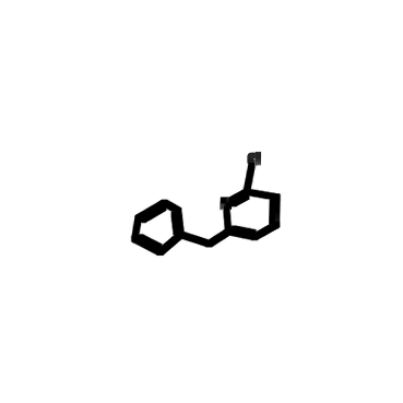 Clc1cccc(Cc2ccccc2)n1